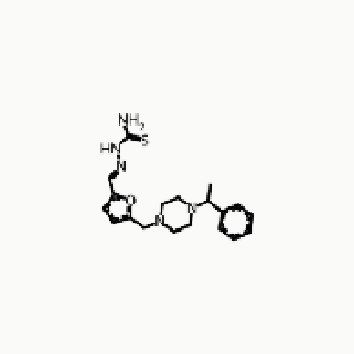 CC(c1ccccc1)N1CCN(Cc2ccc(C=NNC(N)=S)o2)CC1